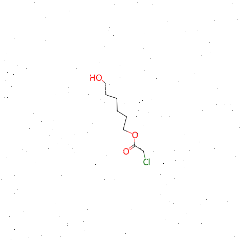 O=C(CCl)OCCCCCCO